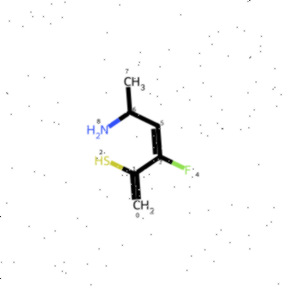 C=C(S)/C(F)=C\C(C)N